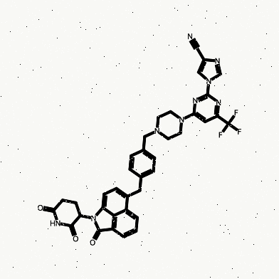 N#Cc1cn(-c2nc(N3CCN(Cc4ccc(Cc5ccc6c7c(cccc57)C(=O)N6C5CCC(=O)NC5=O)cc4)CC3)cc(C(F)(F)F)n2)cn1